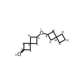 O=C1CC2(C1)CC(OC1CC3(CCC3)C1)C2